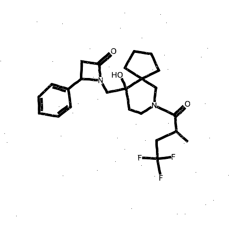 CC(CC(F)(F)F)C(=O)N1CCC(O)(CN2C(=O)CC2c2ccccc2)C2(CCCC2)C1